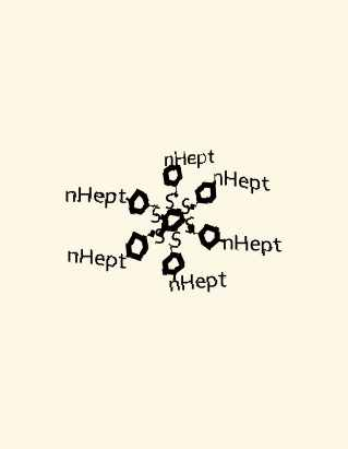 CCCCCCC[C@H]1CC[C@H](CSc2c(SC[C@H]3CC[C@H](CCCCCCC)CC3)c(SC[C@H]3CC[C@H](CCCCCCC)CC3)c(SC[C@H]3CC[C@H](CCCCCCC)CC3)c(SC[C@H]3CC[C@H](CCCCCCC)CC3)c2SC[C@H]2CC[C@H](CCCCCCC)CC2)CC1